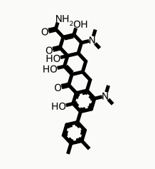 Cc1ccc(-c2cc(N(C)C)c3c(c2O)C(=O)C2=C(O)C4(O)C(=O)C(C(N)=O)=C(O)C(N(C)C)C4CC2C3)cc1C